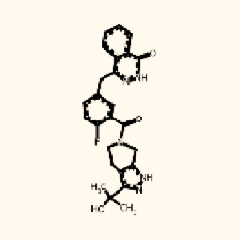 CC(C)(O)c1n[nH]c2c1CCN(C(=O)c1cc(Cc3n[nH]c(=O)c4ccccc34)ccc1F)C2